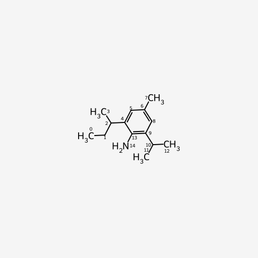 CCC(C)c1cc(C)cc(C(C)C)c1N